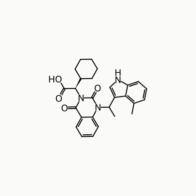 Cc1cccc2[nH]cc(C(C)n3c(=O)n([C@@H](C(=O)O)C4CCCCC4)c(=O)c4ccccc43)c12